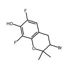 CC1(C)Oc2c(cc(F)c(O)c2F)CC1Br